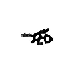 C=C(C)[C@@H]1CCC=C[C@H]1c1c(O)cc(CCCCC)c(C)c1O